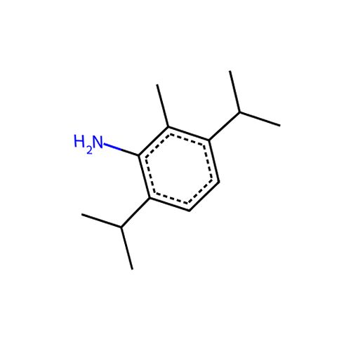 Cc1c(C(C)C)ccc(C(C)C)c1N